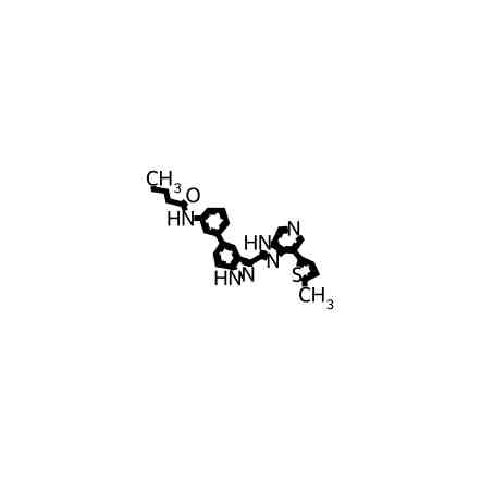 CCCCC(=O)Nc1cccc(-c2ccc3[nH]nc(-c4nc5c(-c6ccc(C)s6)cncc5[nH]4)c3c2)c1